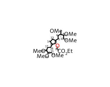 CCOC(=O)COC1C(CCC(OC)C(COC)OC)CCC1CCC(OC)C(COC)OC